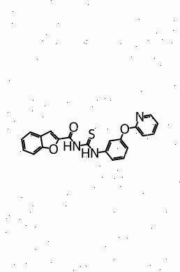 O=C(NC(=S)Nc1cccc(Oc2ccccn2)c1)c1cc2ccccc2o1